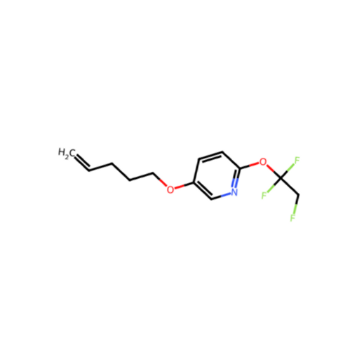 C=CCCCOc1ccc(OC(F)(F)CF)nc1